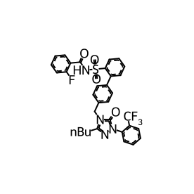 CCCCc1nn(-c2ccccc2C(F)(F)F)c(=O)n1Cc1ccc(-c2ccccc2S(=O)(=O)NC(=O)c2ccccc2F)cc1